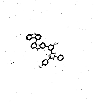 N#Cc1ccc(-c2nc(-c3ccccc3)nc(-c3cc(C#N)cc(-c4ccc5c(c4)sc4cccc(-c6cccc7sc8ccccc8c67)c45)c3)n2)cc1